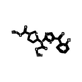 CC(C)(C)OC(=O)N1CCC(N(C(=O)OC(C)(C)C)c2ncc(C(=O)c3ccccc3Cl)s2)CC1